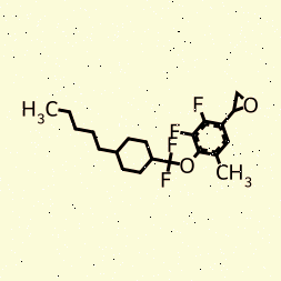 CCCCCC1CCC(C(F)(F)Oc2c(C)cc(C3CO3)c(F)c2F)CC1